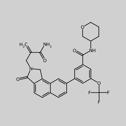 C=C(CN1Cc2c(ccc3ccc(-c4cc(OC(F)(F)F)cc(C(=O)NC5CCCOC5)c4)cc23)C1=O)C(N)=O